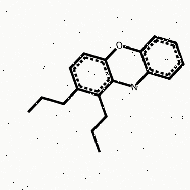 CCCc1ccc2c(c1CCC)[N]c1ccccc1O2